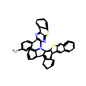 Cc1ccc(-c2nc3c(nc2-n2c4ccccc4c4c5ccccc5c5c6cc7ccccc7cc6sc5c42)sc2ccccc23)cc1